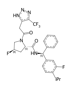 CC(C)c1ccc([C@@H](NC(=O)[C@@H]2C[C@@H](F)CN2C(=O)Cc2[nH]nnc2C(F)(F)F)c2ccccc2)cc1F